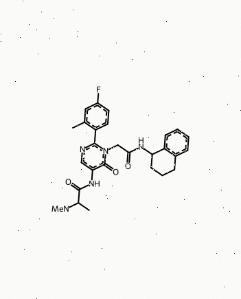 CNC(C)C(=O)Nc1cnc(-c2ccc(F)cc2C)n(CC(=O)NC2CCCc3ccccc32)c1=O